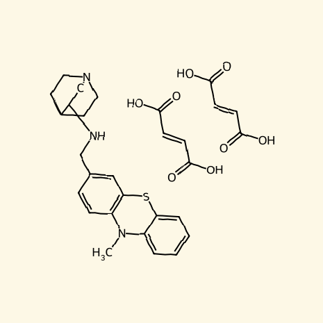 CN1c2ccccc2Sc2cc(CNC3CN4CCC3CC4)ccc21.O=C(O)C=CC(=O)O.O=C(O)C=CC(=O)O